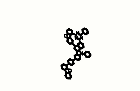 c1ccc(-c2nc(-c3ccccc3)nc(-c3cccc4oc5ccc(-c6ccc7c(c6)c6cc(-c8ccc(-c9cccc%10c9oc9ccccc9%10)cc8)ccc6n7-c6ccccc6)cc5c34)n2)cc1